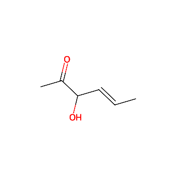 C/C=C/C(O)C(C)=O